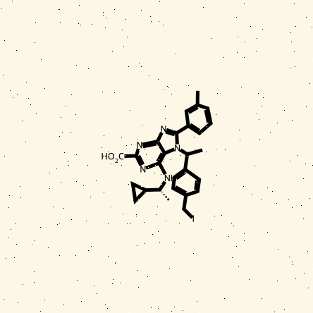 Cc1cccc(-c2nc3nc(C(=O)O)nc(N[C@H](C)C4CC4)c3n2C(C)c2ccc(CI)cc2)c1